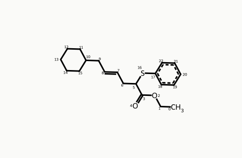 CCOC(=O)C(CC=CCC1CCCCC1)Sc1ccccc1